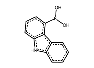 OB(O)c1cccc2[nH]c3ccccc3c12